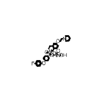 O=C(NO)OC1c2ccc(OCCN3CCCCC3)cc2CCN1S(=O)(=O)c1ccc(Oc2ccc(F)cc2)cc1